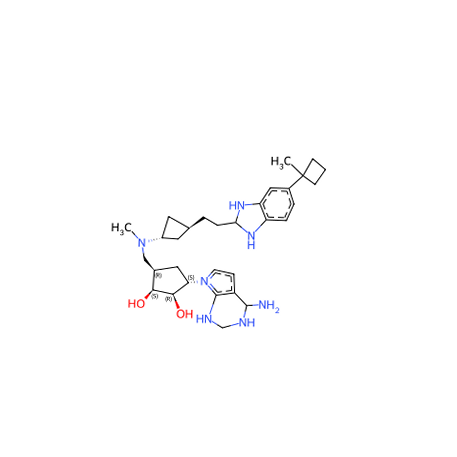 CN(C[C@H]1C[C@H](n2ccc3c2NCNC3N)[C@@H](O)[C@H]1O)[C@H]1C[C@H](CCC2Nc3ccc(C4(C)CCC4)cc3N2)C1